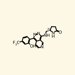 O=C1CC[C@H](CNc2nnc(-c3ccc(C(F)(F)F)cc3O)c3ccncc23)N1